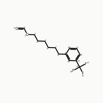 O=[C]OCCCCCCc1cccc(C(F)(F)F)c1